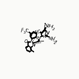 Cc1cccc2c(=O)n(-c3cccc(C(F)(F)F)c3)c([C@H](C)Nc3nc(N)nc(N)c3C#N)nc12